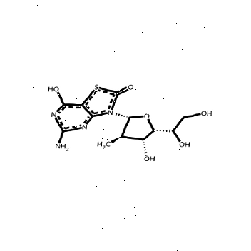 C[C@@H]1[C@@H](O)[C@@H](C(O)CO)O[C@H]1n1c(=O)sc2c(O)nc(N)nc21